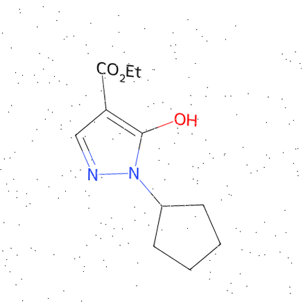 CCOC(=O)c1cnn(C2CCCC2)c1O